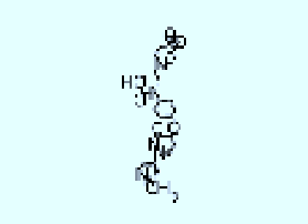 Cn1cc(-n2ccc(=O)c(Cc3cccc(N(CCN4CCS(=O)(=O)CC4)C(=O)O)c3)n2)cn1